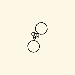 ClC1(N=NC2CCCCCCCCCCC2)CCCCCCCCCCC1